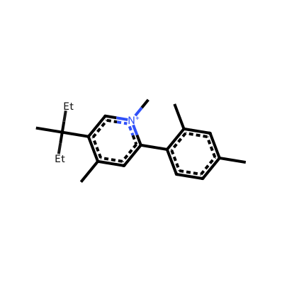 CCC(C)(CC)c1c[n+](C)c(-c2ccc(C)cc2C)cc1C